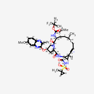 COC[C@@H]1C[C@@H](C)CC/C=C\[C@@H]2C[C@@]2(C(=O)NS(=O)(=O)C2(C)CC2)NC(=O)[C@@H]2C[C@@H](Oc3nc4cc(OC)ccc4nc3C(C)C)CN2C(=O)[C@H]1NC(=O)OC(C)(C)C(F)(F)F